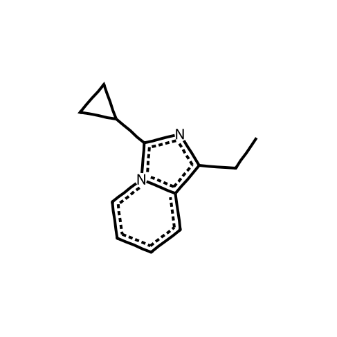 CCc1nc(C2CC2)n2ccccc12